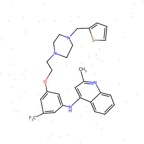 Cc1cc(Nc2cc(OCCN3CCN(Cc4cccs4)CC3)cc(C(F)(F)F)c2)c2ccccc2n1